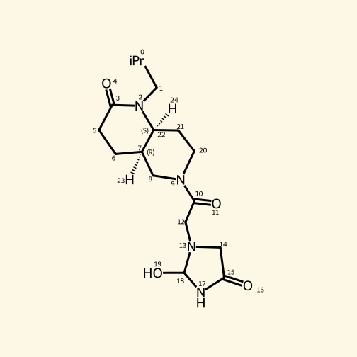 CC(C)CN1C(=O)CC[C@@H]2CN(C(=O)CN3CC(=O)NC3O)CC[C@@H]21